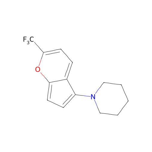 FC(F)(F)c1ccc2c(N3CCCCC3)ccc-2o1